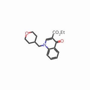 CCOC(=O)c1cn(CC2CCOCC2)c2ccccc2c1=O